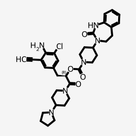 C#Cc1cc(C[C@@H](OC(=O)N2CCC(N3CCc4ccccc4NC3=O)CC2)C(=O)N2CCC(N3CCCC3)CC2)cc(Cl)c1N